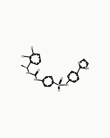 C[C@H](NC(=O)Nc1ccc(S(=O)(=O)Nc2ccc(-c3ncc[nH]3)cc2)cc1)c1cccc(Cl)c1Cl